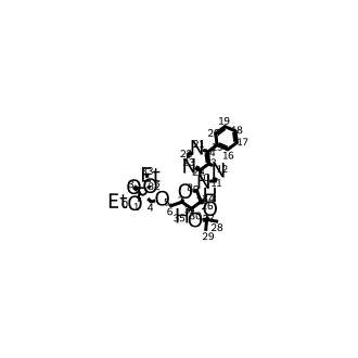 CCOP(=O)(COCC1O[C@@H](n2cnc3c(-c4ccccc4)ncnc32)[C@@H]2OC(C)(C)O[C@H]12)OCC